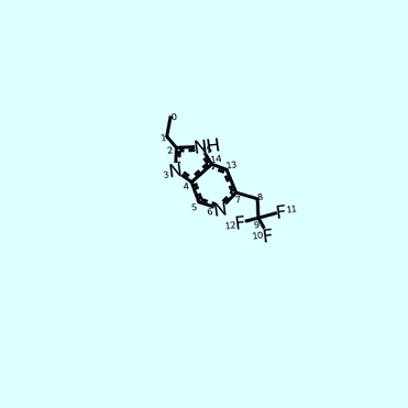 CCc1nc2cnc(CC(F)(F)F)cc2[nH]1